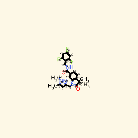 Cc1cc(CN2C(=O)C(C)(C)c3ccc(C(=O)NCc4c(F)cc(F)cc4F)cc32)nn1C